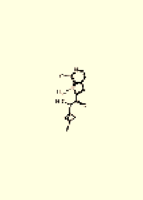 CN(C(=O)c1cc2ccnc(Cl)c2n1C)C12CC(F)(C1)C2